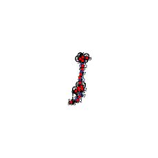 CNC(=O)OC1C=C(OCC/C(C)=C/CC/C(C)=C/CC/C(C)=C/CC2C(OC(C)=O)C=C(OC)C(=O)C2C)C(=O)C(C)C1C/C=C(\C)CC/C=C(\C)CCC=C(C)C